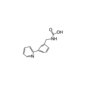 O=C(O)NCc1cccc(-c2ccccn2)c1